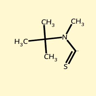 CN([C]=S)C(C)(C)C